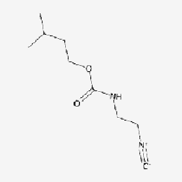 [C-]#[N+]CCNC(=O)OCCC(C)C